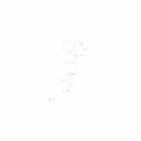 CC(C)Cc1cnc(N2CCC(n3c(=O)c(=O)n(C)c4ccccc43)CC2)nc1